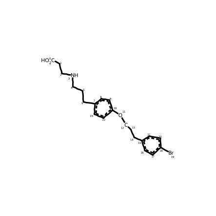 O=C(O)CCNCCCc1ccc(OCCCc2ccc(Br)cc2)cc1